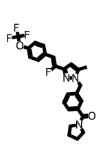 Cc1cc(C(F)=Cc2ccc(OC(F)(F)F)cc2)nn1Cc1cccc(C(=O)N2CCCC2)c1